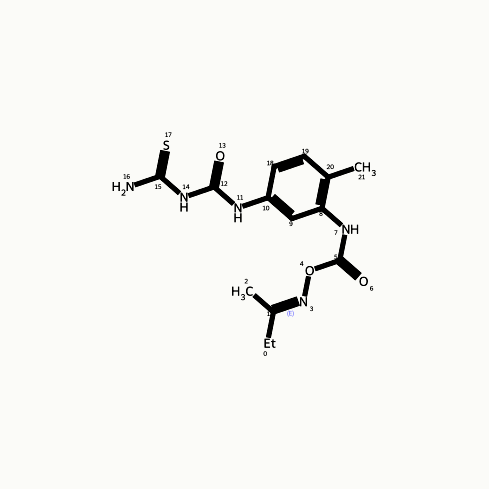 CC/C(C)=N/OC(=O)Nc1cc(NC(=O)NC(N)=S)ccc1C